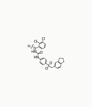 C[C@H](NC(=O)Nc1ccc(S(=O)(=O)Cc2ccc3c(c2)CCC3)cc1)c1cccc(Cl)c1Cl